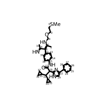 CSCCOCN/C(C)=C(\C(C)=N)c1ccc(NC(=O)C(c2nc(-c3ccccc3)c[nH]2)C(C2CC2)C2CC2)cc1